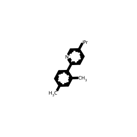 Cc1ccc(-c2ccc(C(C)C)cn2)c(C)c1